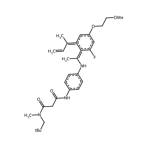 C=C/C(C)=c1/cc(OCCOC)cc(F)/c1=C(/C)Nc1ccc(NC(=O)CC(=O)N(C)CC(C)(C)C)cc1